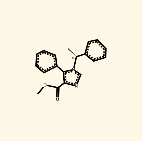 COC(=O)c1ncn([C@H](C)c2ccccc2)c1-c1ccccc1